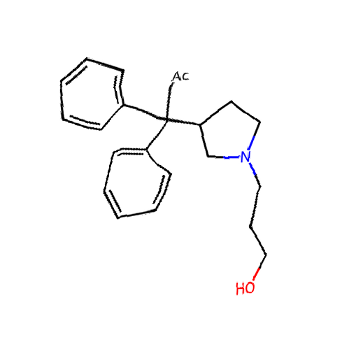 CC(=O)C(c1ccccc1)(c1ccccc1)C1CCN(CCCO)C1